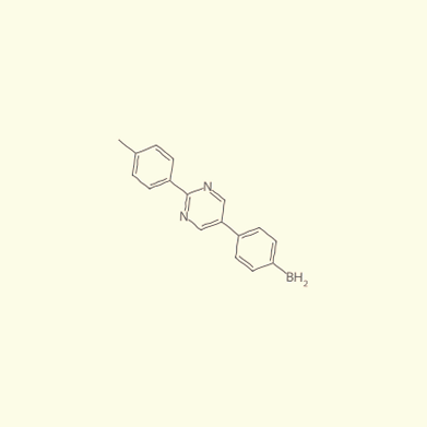 Bc1ccc(-c2cnc(-c3ccc(C)cc3)nc2)cc1